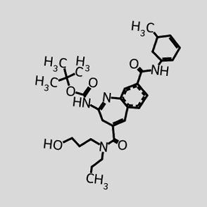 CCCN(CCCO)C(=O)C1=Cc2ccc(C(=O)NC3=CC=CC(C)C3)cc2N=C(NC(=O)OC(C)(C)C)C1